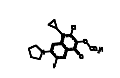 O=C(O)Oc1c(Cl)n(C2CC2)c2cc(N3CCCC3)c(F)cc2c1=O